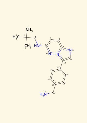 CC(C)(C)CNc1ccc2ncc(-c3ccc(CN)cc3)n2n1